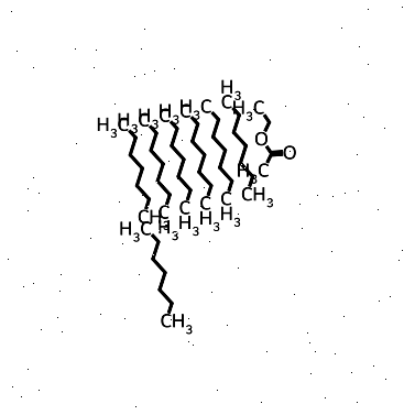 CCCCCCC.CCCCCCC.CCCCCCC.CCCCCCC.CCCCCCC.CCCCCCC.CCCCCCC.CCOC(C)=O